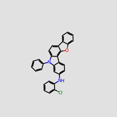 Clc1ccccc1Nc1ccc2c3c4oc5ccccc5c4ccc3n(-c3ccccc3)c2c1